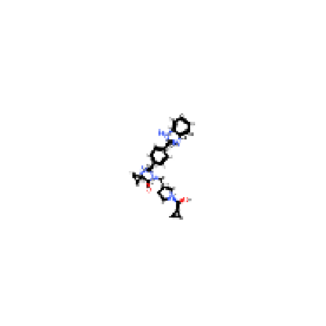 O=C(C1CC1)N1CC[C@@H](CN2C(=O)C3(CC3)N=C2c2ccc(-c3nc4ccccc4[nH]3)cc2)C1